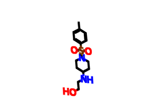 Cc1ccc(S(=O)(=O)N2CCC(NCCO)CC2)cc1